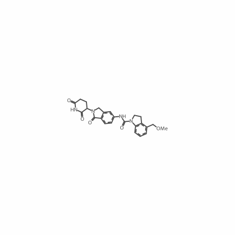 COCc1cccc2c1CCN2C(=O)Nc1ccc2c(c1)CN(C1CCC(=O)NC1=O)C2=O